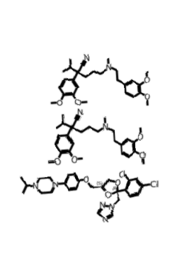 CC(C)N1CCN(c2ccc(OC[C@H]3CO[C@](Cn4cncn4)(c4ccc(Cl)cc4Cl)O3)cc2)CC1.COc1ccc(CCN(C)CCCC(C#N)(c2ccc(OC)c(OC)c2)C(C)C)cc1OC.COc1ccc(CCN(C)CCCC(C#N)(c2ccc(OC)c(OC)c2)C(C)C)cc1OC